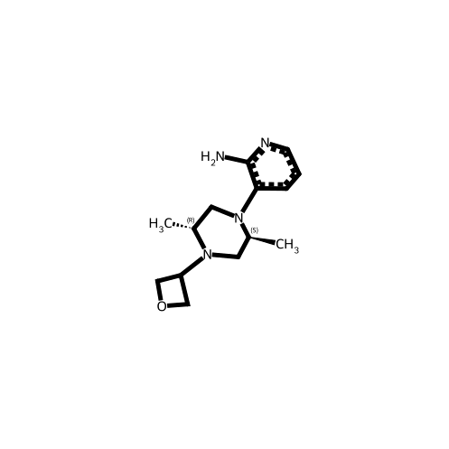 C[C@@H]1CN(c2cccnc2N)[C@@H](C)CN1C1COC1